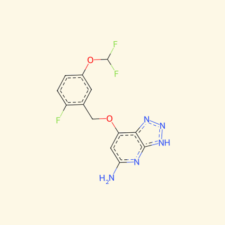 Nc1cc(OCc2cc(OC(F)F)ccc2F)c2nn[nH]c2n1